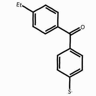 CCc1ccc(C(=O)c2ccc([S])cc2)cc1